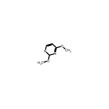 COC1=NC(OC)[N]C=C1